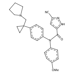 COc1ccc(N(C(=O)c2cc(C#N)n[nH]2)c2ccc(C3(CN4CCCC4)CC3)cc2)cc1